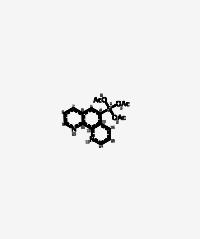 CC(=O)O[Si](OC(C)=O)(OC(C)=O)c1cc2cccnc2c2ncccc12